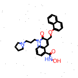 O=C(NCCCN1CCCC1)C(=Cc1ccccc1C(=O)NO)COc1cccc2ccccc12